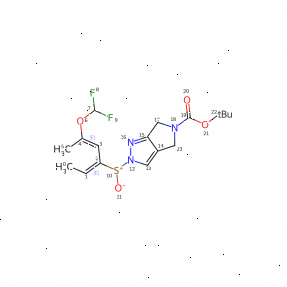 C/C=C(\C=C(/C)OC(F)F)[S+]([O-])n1cc2c(n1)CN(C(=O)OC(C)(C)C)C2